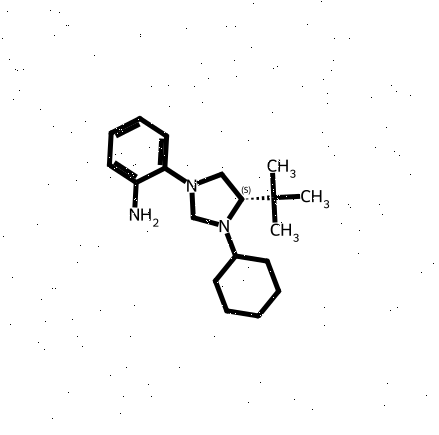 CC(C)(C)[C@H]1CN(c2ccccc2N)CN1C1CCCCC1